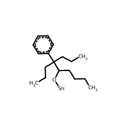 CCCCC([O][Sn])C(CCC)(CCC)c1ccccc1